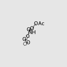 CC(=O)OCCCOCC(=O)NCc1ccc(CC(=O)C2CCCCC2=O)cc1